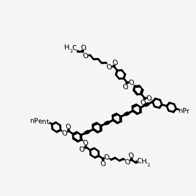 C=CC(=O)OCCCCCOC(=O)C1CCC(C(=O)Oc2ccc(C(=O)OC3(C#Cc4ccc(C#Cc5ccc(C#Cc6ccc(C#Cc7cc(C(=O)OC8CCC(CCCCC)CC8)ccc7OC(=O)C7CCC(C(=O)OCCCCOC(=O)C=C)CC7)cc6)cc5)cc4)CCC(C4CCC(CCC)CC4)CC3)cc2)CC1